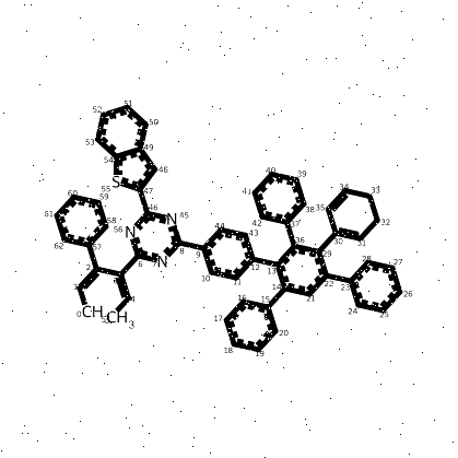 C/C=C(\C(=C/C)c1nc(-c2ccc(-c3c(-c4ccccc4)cc(-c4ccccc4)c(C4=CCCC=C4)c3-c3ccccc3)cc2)nc(-c2cc3ccccc3s2)n1)c1ccccc1